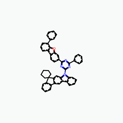 c1ccc(-c2nc(-c3ccc4c(c3)oc3c(-c5ccccc5)cccc34)nc(-n3c4ccccc4c4cc5c(cc43)C3(CCCCC3)c3ccccc3-5)n2)cc1